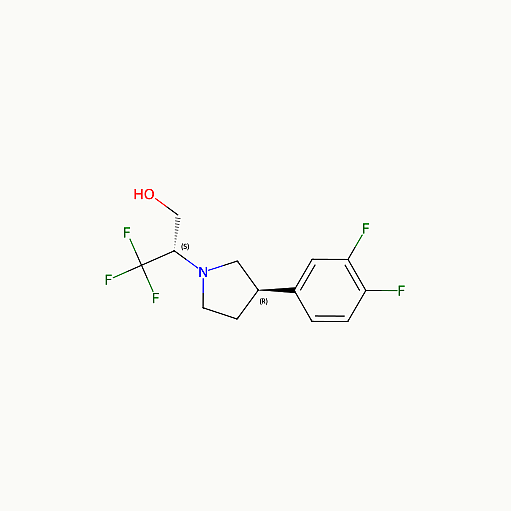 OC[C@H](N1CC[C@H](c2ccc(F)c(F)c2)C1)C(F)(F)F